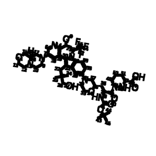 COC(C)c1ncc(N2CCN3CCOC[C@@H]3C2)cc1-c1c(CC(C)(C)CO)c2cc(N3CCO[C@@H](CC(NC(=O)OC(C)(C)C)C(=O)N4CCC[C@@H](C(=O)O)N4)C3)ccc2n1CC(F)(F)F